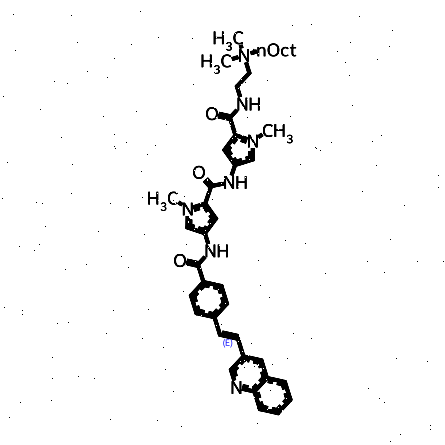 CCCCCCCC[N+](C)(C)CCNC(=O)c1cc(NC(=O)c2cc(NC(=O)c3ccc(/C=C/c4cnc5ccccc5c4)cc3)cn2C)cn1C